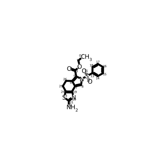 CCOC(=O)c1c2c(cn1S(=O)(=O)c1ccccc1)-c1nc(N)sc1CC2